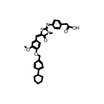 COc1cc(C=C2SC(=Nc3ccc(CC(=O)O)cc3)N(C)C2=O)ccc1OCc1ccc(C2CCCCC2)cc1